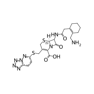 NCC1=C(CC(=O)NC2C(=O)N3C(C(=O)O)=C(CSc4ccc5nnnn5n4)CS[C@@H]23)CCCC1